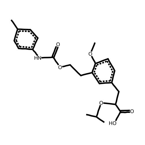 COc1ccc(CC(OC(C)C)C(=O)O)cc1CCOC(=O)Nc1ccc(C)cc1